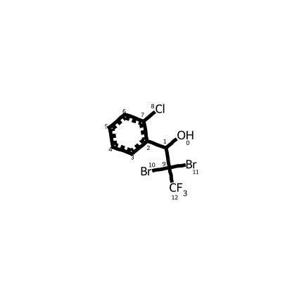 OC(c1ccccc1Cl)C(Br)(Br)C(F)(F)F